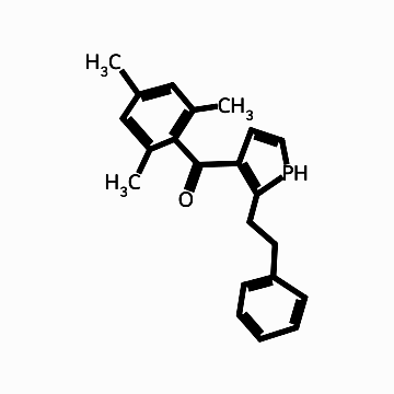 Cc1cc(C)c(C(=O)c2cc[pH]c2CCc2ccccc2)c(C)c1